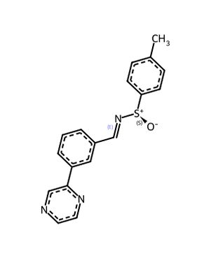 Cc1ccc([S@@+]([O-])/N=C/c2cccc(-c3cnccn3)c2)cc1